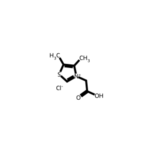 Cc1sc[n+](CC(=O)O)c1C.[Cl-]